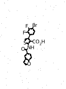 O=C(Nc1scc(-c2ccc(Br)c(F)c2F)c1C(=O)O)c1ccc2occc2c1